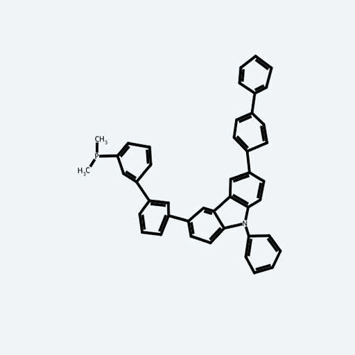 CP(C)c1cccc(-c2cccc(-c3ccc4c(c3)c3cc(-c5ccc(-c6ccccc6)cc5)ccc3n4-c3ccccc3)c2)c1